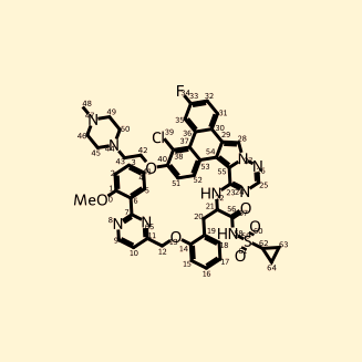 COc1ccccc1-c1nccc(COc2ccccc2CC(Nc2ncnn3cc4c5ccc(F)cc5c5c(Cl)c(OCCN6CCN(C)CC6)ccc5c4c23)C(=O)NS(=O)(=O)C2CC2)n1